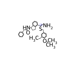 CCc1cc(CS/C(=C\N)c2cccc3c2CCC3NC(=O)Cc2ccccc2)ccc1OC(C)C